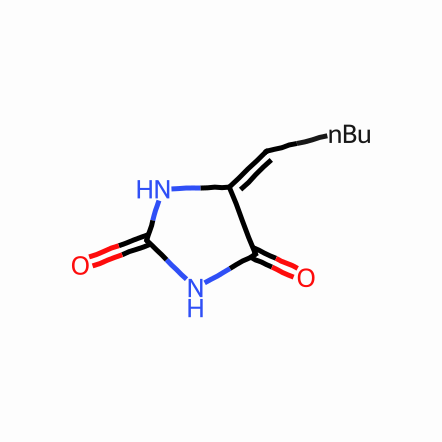 CCCCC=C1NC(=O)NC1=O